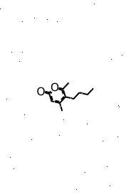 CCCCc1c(C)cc(=O)oc1C